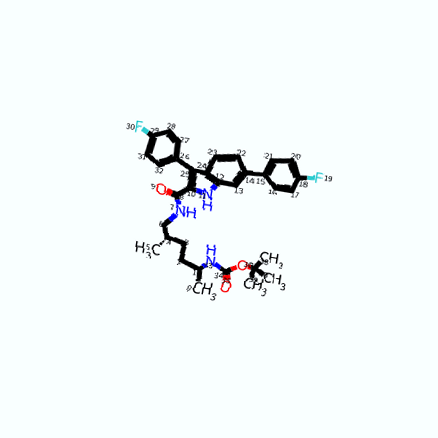 CC(CC[C@H](C)CNC(=O)c1[nH]c2cc(-c3ccc(F)cc3)ccc2c1-c1ccc(F)cc1)NC(=O)OC(C)(C)C